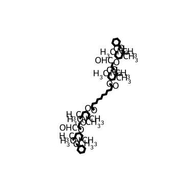 CC1(C)CC(OC(=O)CCCCCCCCC(=O)OC2CC(C)(C)N(OCC(C=O)OC3CC(C)(C)N(OC4CCCCC4)C(C)(C)C3)C(C)(C)C2)CC(C)(C)N1OCC(C=O)OC1CC(C)(C)N(OC2CCCCC2)C(C)(C)C1